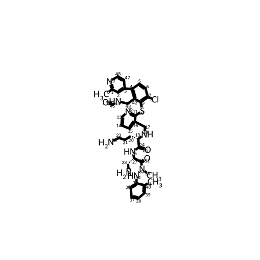 Cc1cc(-c2ccc(Cl)c(Sc3ncccc3CN[C@@H](CCCN)C(=O)N[C@@H](CN)C(=O)N(C)Nc3ccccc3C)c2CNC=O)ccn1